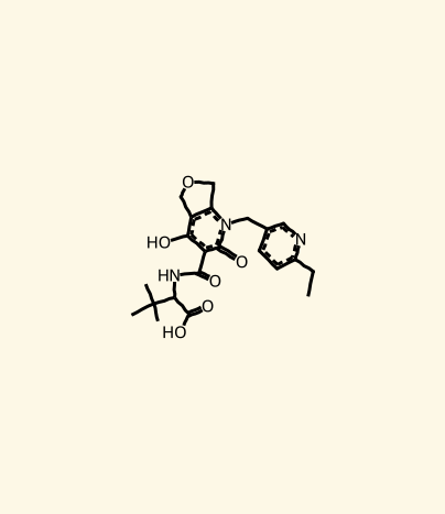 CCc1ccc(Cn2c3c(c(O)c(C(=O)NC(C(=O)O)C(C)(C)C)c2=O)COC3)cn1